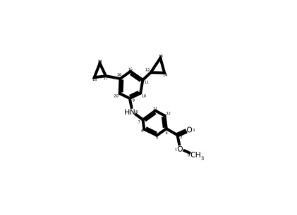 COC(=O)c1ccc(Nc2cc(C3CC3)cc(C3CC3)c2)cc1